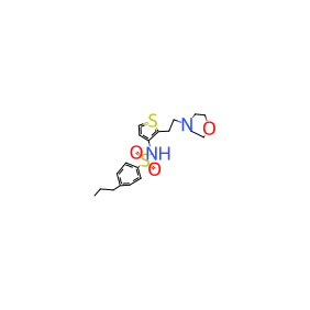 CCCc1ccc(S(=O)(=O)Nc2ccsc2CCN2CCOCC2)cc1